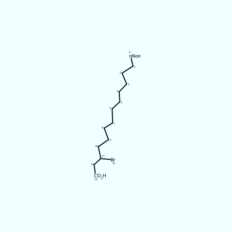 CCCCCCCCCCCCCCCCCCCC(Br)CC(=O)O